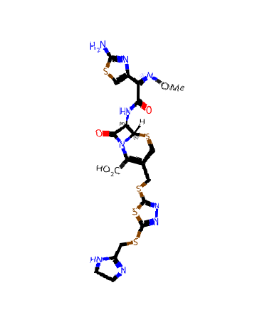 CO/N=C(\C(=O)N[C@@H]1C(=O)N2C(C(=O)O)=C(CSc3nnc(SCC4=NCCN4)s3)CS[C@@H]12)c1csc(N)n1